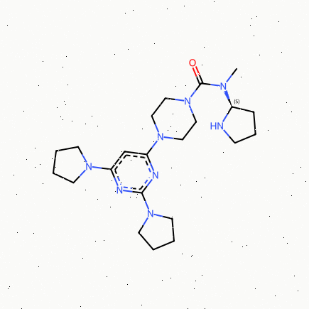 CN(C(=O)N1CCN(c2cc(N3CCCC3)nc(N3CCCC3)n2)CC1)[C@H]1CCCN1